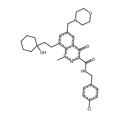 Cn1nc(C(=O)NCc2ccc(Cl)cc2)c(=O)c2cc(CN3CCOCC3)cc(CCC3(O)CCCCC3)c21